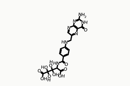 Nc1nc2ncc(CNc3ccc(C(=O)NC(C(=O)O)C(O)(O)C(O)(O)C(=O)O)cc3)nc2c(=O)[nH]1